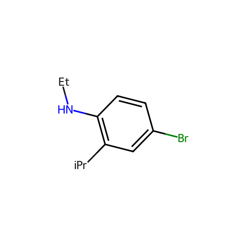 CCNc1ccc(Br)cc1C(C)C